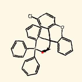 Clc1ccc2c(c1)C1(c3ccccc3O2)c2ccccc2S(c2ccccc2)(c2ccccc2)c2ccccc21